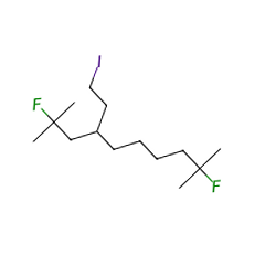 CC(C)(F)CCCCC(CCI)CC(C)(C)F